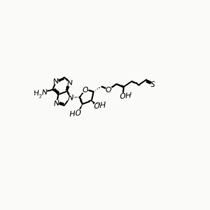 Nc1ncnc2c1ncn2[C@@H]1O[C@H](COCC(O)CCC=S)[C@@H](O)[C@H]1O